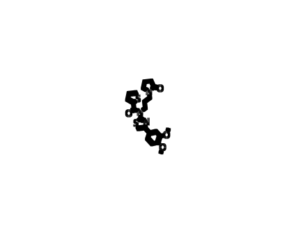 COc1ccc(-c2csc(N(CCCN3CCCC3=O)C(=O)c3cccs3)n2)cc1OC